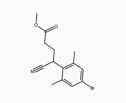 COC(=O)CCC(C#N)c1c(C)cc(Br)cc1C